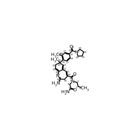 CCCN(CC(N)=O)C(=O)C1=CC2=CC(C)(c3ccc(C(=O)N4CCCC4)cc3C)CC=C2N=C(N)C1